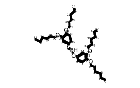 CCCCCCOc1ccc(OBOc2ccc(OCCCCCC)c(OCCCCCC)c2)cc1OCCCCCC